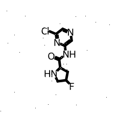 O=C(Nc1cncc(Cl)n1)C1CC(F)CN1